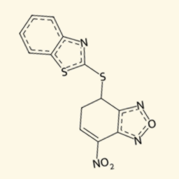 O=[N+]([O-])C1=CCC(Sc2nc3ccccc3s2)c2nonc21